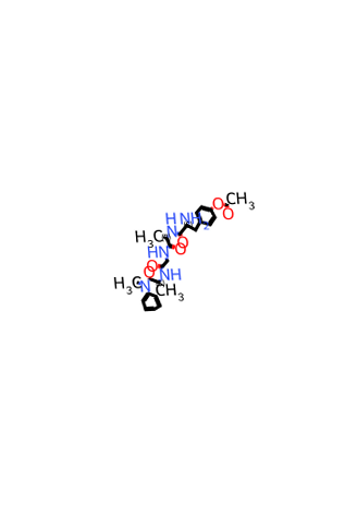 CC(=O)Oc1ccc(C[C@H](N)C(=O)N[C@H](C)C(=O)NCC(=O)N[C@@H](C)C(=O)N(C)c2ccccc2)cc1